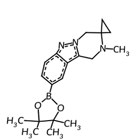 CN1Cc2c3cc(B4OC(C)(C)C(C)(C)O4)ccc3nn2CC12CC2